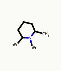 CCCC1CCCC(C)N1C(C)C